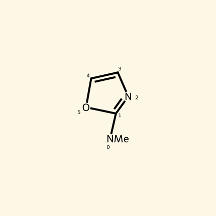 [CH2]Nc1ncco1